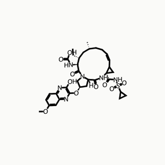 CC[C@@H]1C[C@H](C)CC/C=C\C2C[C@@]2(C(=O)NS(=O)(=O)C2CC2)NC(=O)[C@@H]2C[C@@H](Oc3nc4cc(OC)ccc4nc3O)CN2C(=O)[C@H]1NC(=O)O